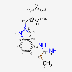 CSC(=N)Nc1cccc2nn(Cc3ccccc3)cc12